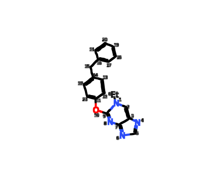 CCn1cc2ncnc-2nc1Oc1ccc(Cc2ccccc2)cc1